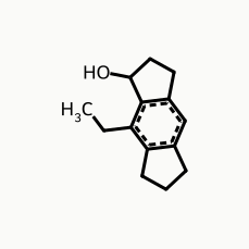 CCc1c2c(cc3c1C(O)CC3)CCC2